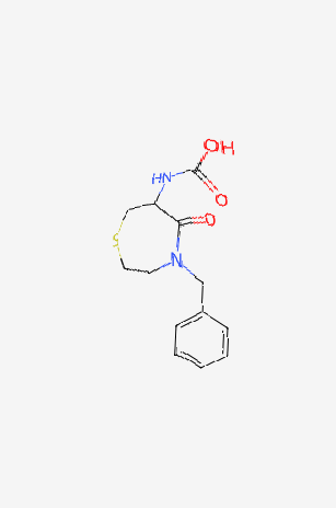 O=C(O)NC1CSCCN(Cc2ccccc2)C1=O